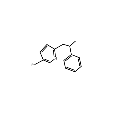 CCc1ccc(CC(C)c2ccccc2)nc1